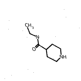 CC[N]C(=O)C1CCNCC1